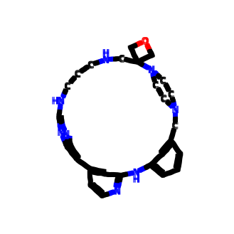 c1cc2cc(c1)Nc1cc(ccn1)-c1cnc(nc1)NCCCNCC1(COC1)N1CCN(CC1)C2